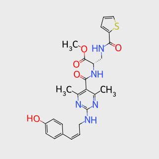 COC(=O)[C@H](CNC(=O)c1cccs1)NC(=O)c1c(C)nc(NC/C=C\c2ccc(O)cc2)nc1C